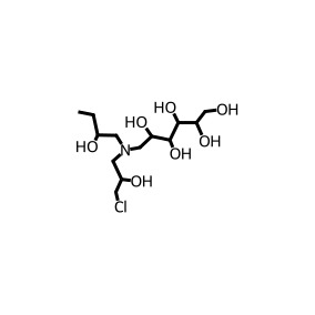 CCC(O)CN(CC(O)CCl)CC(O)C(O)C(O)C(O)CO